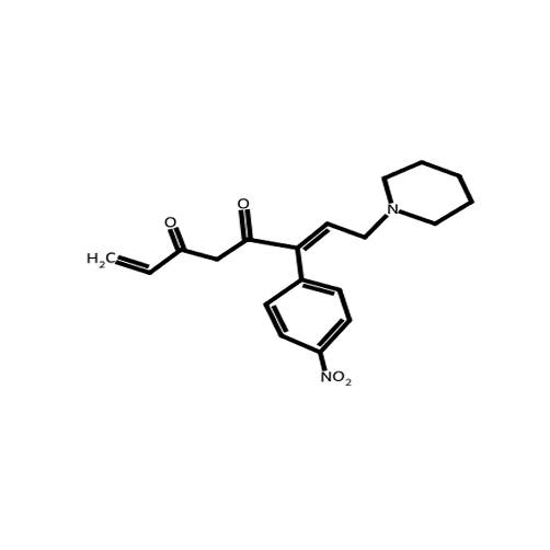 C=CC(=O)CC(=O)C(=CCN1CCCCC1)c1ccc([N+](=O)[O-])cc1